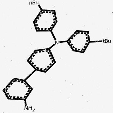 CCCCc1ccc(N(c2ccc(-c3cccc(N)c3)cc2)c2ccc(C(C)(C)C)cc2)cc1